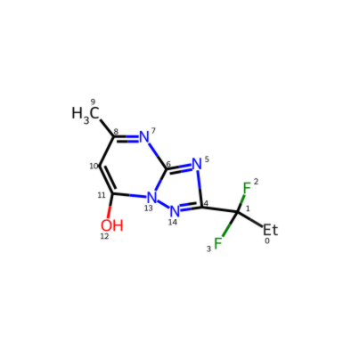 CCC(F)(F)c1nc2nc(C)cc(O)n2n1